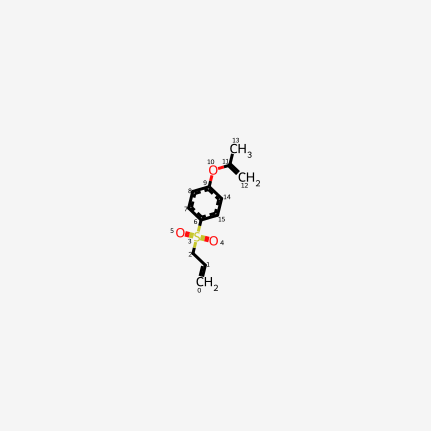 C=CCS(=O)(=O)c1ccc(OC(=C)C)cc1